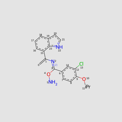 C=C(/N=C(\ON)c1ccc(OC(C)C)c(Cl)c1)c1cccc2cc[nH]c12